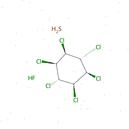 Cl[C@H]1[C@H](Cl)[C@@H](Cl)[C@@H](Cl)[C@H](Cl)[C@H]1Cl.F.S